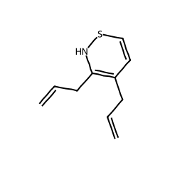 C=CCC1=C(CC=C)NSC=C1